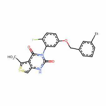 CCc1cccc(COc2ccc(F)c(-n3c(=O)[nH]c4csc(C(=O)O)c4c3=O)c2)c1